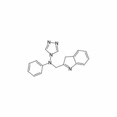 c1ccc(N(CC2=Nc3ccccc3C2)n2cnnc2)cc1